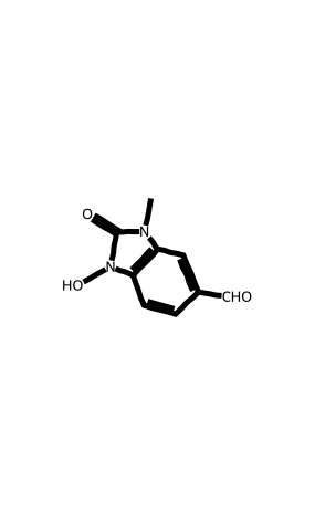 Cn1c(=O)n(O)c2ccc(C=O)cc21